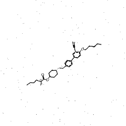 CCCCCOc1ccc(-c2ccc(CC[C@H]3CC[C@H](OC(=O)[C@@H](F)CCCC)CC3)cc2)cc1C#N